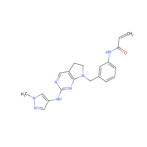 C=CC(=O)Nc1cccc(CN2CCc3cnc(Nc4cnn(C)c4)nc32)c1